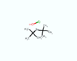 C[C](C)(C)[Sn][C](C)(C)C.OCl